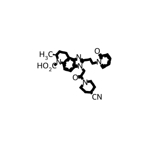 C[C@H]1CCc2c(ccc3c2nc(CCn2ccccc2=O)n3CC(=O)N2CCC(C#N)CC2)N1C(=O)O